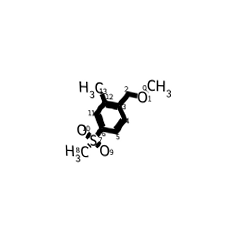 COCc1ccc(S(C)(=O)=O)cc1C